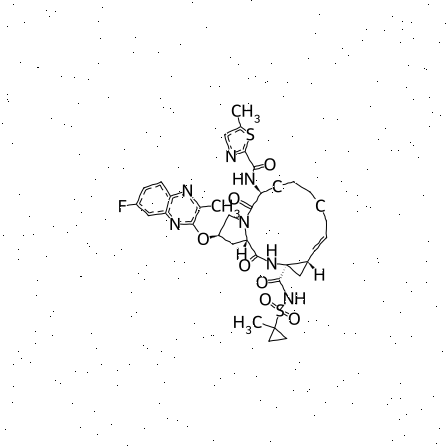 Cc1cnc(C(=O)N[C@H]2CCCCCC=C[C@@H]3C[C@@]3(C(=O)NS(=O)(=O)C3(C)CC3)NC(=O)[C@@H]3C[C@@H](Oc4nc5cc(F)ccc5nc4C)CN3C2=O)s1